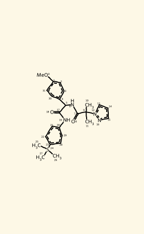 COc1ccc(C(NC(=O)C(C)(C)n2cccn2)C(=O)Nc2ccc(S(C)(C)C)cc2)cc1